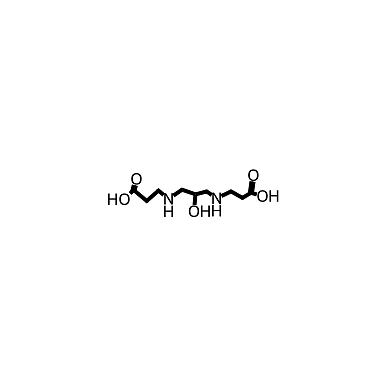 O=C(O)CCNCC(O)CNCCC(=O)O